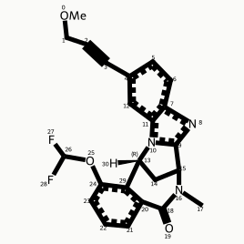 COCC#Cc1ccc2nc3n(c2c1)[C@@H]1CC3N(C)C(=O)c2cccc(OC(F)F)c21